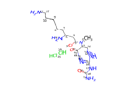 CN(C(=O)CC(N)CCCCCN)C1CNC(NC(N)=O)=NC1=O.Cl.Cl